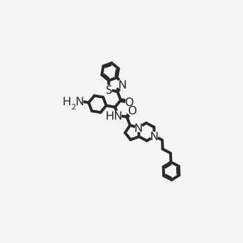 NC1CCC(C(NC(=O)C2CCC3CN(CCCc4ccccc4)CCN32)C(=O)c2nc3ccccc3s2)CC1